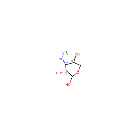 CN[C@H]1[C@@H](O)COC(O)[C@@H]1O